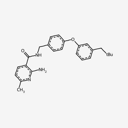 Cc1ccc(C(=O)NCc2ccc(Oc3cccc(CC(C)(C)C)c3)cc2)c(N)n1